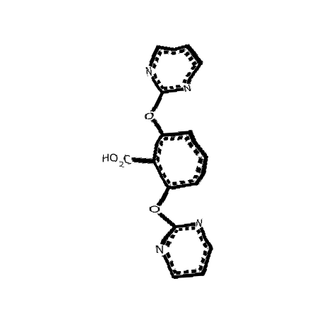 O=C(O)c1c(Oc2ncccn2)cccc1Oc1ncccn1